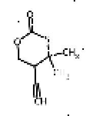 C#CC1COC(=O)SC1(C)C